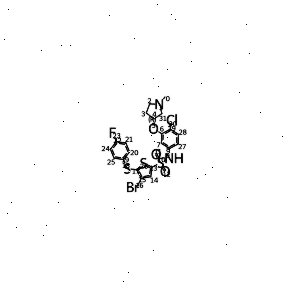 CN1CC[C@@H](Oc2cc(NS(=O)(=O)c3cc(Br)c(Sc4ccc(F)cc4)s3)ccc2Cl)C1